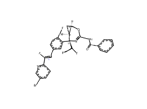 O=C(NC1=N[C@@](c2cc(/C=C(\F)c3ccc(Br)cn3)ccc2F)(C(F)F)[C@H]2C[C@H]2O1)c1ccccc1